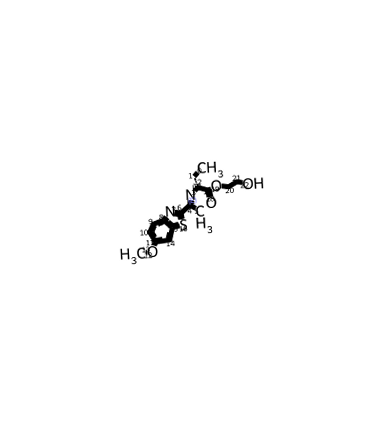 CC[C@@H](/N=C(\C)c1nc2ccc(OC)cc2s1)C(=O)OCCO